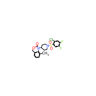 Cc1cccc2c1N(C1CCN(S(=O)(=O)c3cc(F)c(F)cc3Cl)CC1)C(=O)OC2